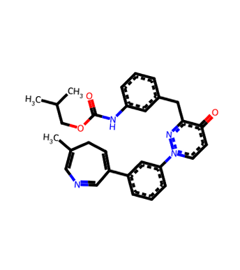 CC1=CN=CC(c2cccc(-n3ccc(=O)c(Cc4cccc(NC(=O)OCC(C)C)c4)n3)c2)=CC1